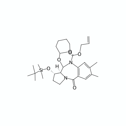 C=CCOC(=O)N1c2cc(C)c(C)cc2C(=O)N2CC[C@H](O[Si](C)(C)C(C)(C)C)[C@H]2C1OC1CCCCO1